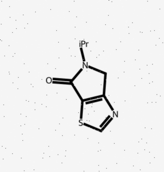 CC(C)N1Cc2ncsc2C1=O